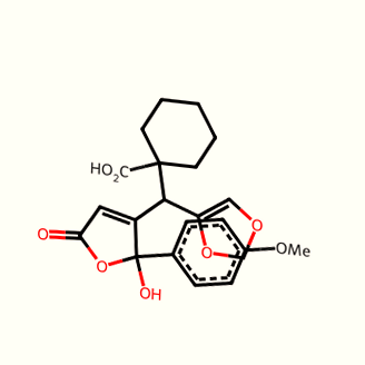 COc1ccc(C2(O)OC(=O)C=C2C(C2=COCO2)C2(C(=O)O)CCCCC2)cc1